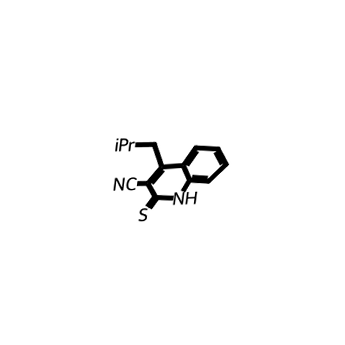 CC(C)Cc1c(C#N)c(=S)[nH]c2ccccc12